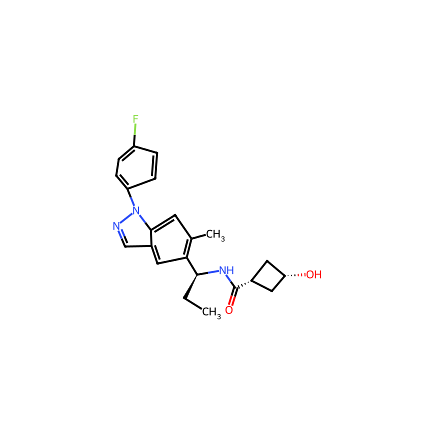 CC[C@H](NC(=O)[C@H]1C[C@@H](O)C1)c1cc2cnn(-c3ccc(F)cc3)c2cc1C